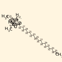 [CH2]CC(NC(=O)CC)(NC(=O)CC)NC(=O)CCCCCCCCCCCCCCCCCCCCC